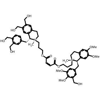 COc1cc2c(cc1OC)[C@@H](Cc1cc(CO)c(OC)c(OC)c1)[N@+](C)(CCCOC(=O)/C=C\C(=O)OCCC[N@+]1(C)CCc3cc(CO)c(CO)cc3[C@H]1Cc1ccc(CO)c(CO)c1)CC2